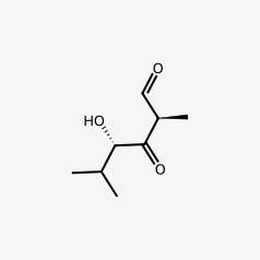 CC(C)[C@H](O)C(=O)[C@H](C)C=O